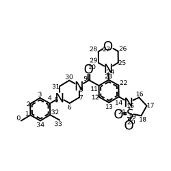 Cc1ccc(N2CCN(C(=O)c3ccc(N4CCCS4(=O)=O)cc3N3CCOCC3)CC2)c(C)c1